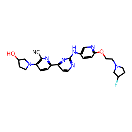 N#Cc1nc(-c2ccnc(Nc3ccc(OCCN4CCC(F)C4)nc3)n2)ccc1N1CCC(O)C1